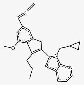 C=C=Cc1cc2c(c(OC)c1)C(CCC)=C(c1cc3cccnc3n1CC1CC1)C2